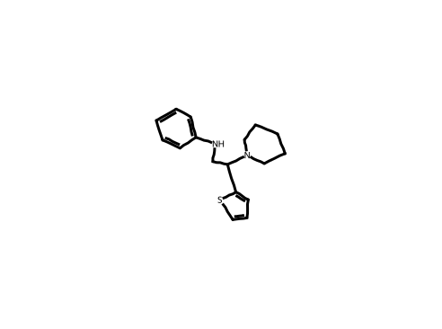 c1ccc(NCC(c2cccs2)N2CCCCC2)cc1